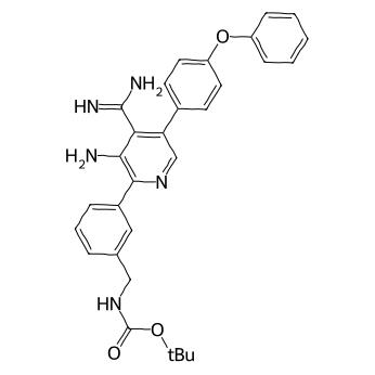 CC(C)(C)OC(=O)NCc1cccc(-c2ncc(-c3ccc(Oc4ccccc4)cc3)c(C(=N)N)c2N)c1